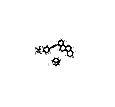 C1=CC2=CC=C(CC2)N1.FC(F)(F)Oc1ccc(C#Cc2cccc3c2CCc2c-3ccc3c2CCC=C3)cc1